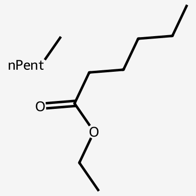 CCCCCC.CCCCCC(=O)OCC